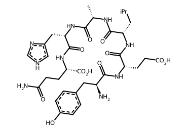 CC(C)C[C@H](NC(=O)[C@H](CCC(=O)O)NC(=O)[C@@H](N)Cc1ccc(O)cc1)C(=O)N[C@@H](C)C(=O)N[C@@H](Cc1c[nH]cn1)C(=O)N[C@@H](CCC(N)=O)C(=O)O